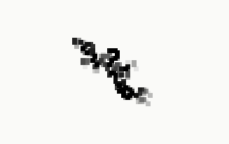 C=C(CN1CCN(C)CC1)C(=O)NCC(NC(=O)C(Cc1nc2ccc(C(C)C)cc2s1)NC(=O)CC)C1CCCCC1